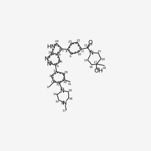 Cc1cc(-c2cc3c(-c4ccc(C(=O)N5CCC(C)(O)CC5)cc4)c[nH]c3nn2)cc(C)c1N1CCN(C)CC1